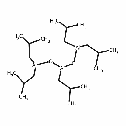 CC(C)[CH2][Al]([CH2]C(C)C)[O][Al]([CH2]C(C)C)[O][Al]([CH2]C(C)C)[CH2]C(C)C